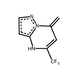 C=C1C=C(C(F)(F)F)Nc2ccnn21